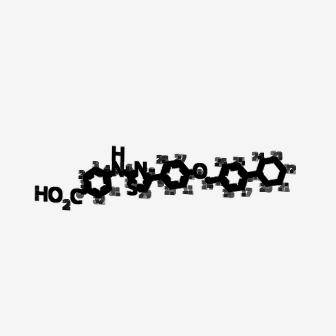 O=C(O)c1ccc(Nc2nc(-c3ccc(OCc4ccc(C5CCCCC5)cc4)cc3)cs2)cc1